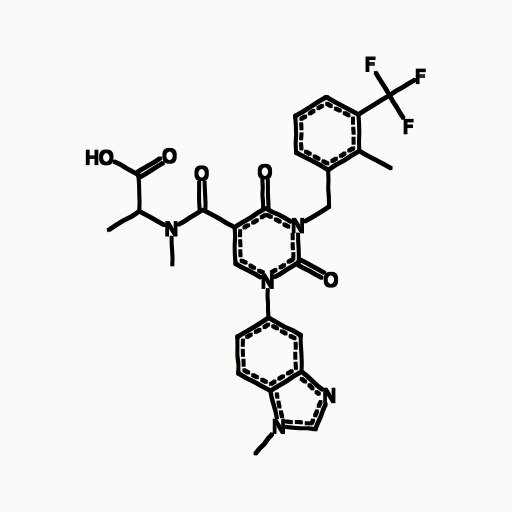 Cc1c(Cn2c(=O)c(C(=O)N(C)C(C)C(=O)O)cn(-c3ccc4c(c3)ncn4C)c2=O)cccc1C(F)(F)F